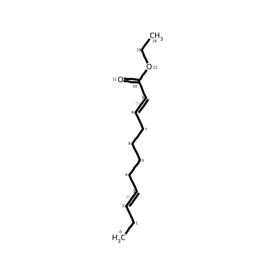 CC/C=C/CCCC/C=C/C(=O)OCC